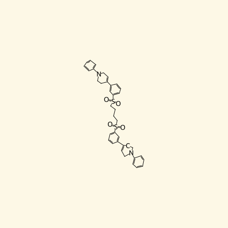 O=S(=O)(CCCCS(=O)(=O)c1cccc(C2=CCN(c3ccccc3)CC2)c1)c1cccc(C2=CCN(c3ccccc3)CC2)c1